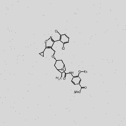 CCOc1cc(C(=O)OC)ccc1NC(=O)N1C2C[C@H](OCc3c(-c4c(Cl)cccc4Cl)noc3C3CC3)CC1[C@H](C)C2